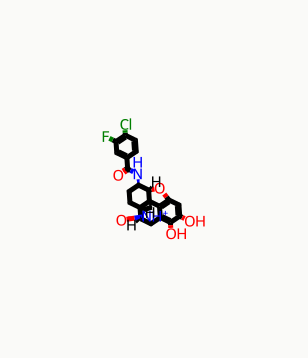 O=C(N[C@@H]1CC[C@H]2[C@H]3Cc4c(O)c(O)cc5c4[C@@]2(CC[NH+]3[O-])[C@H]1O5)c1ccc(Cl)c(F)c1